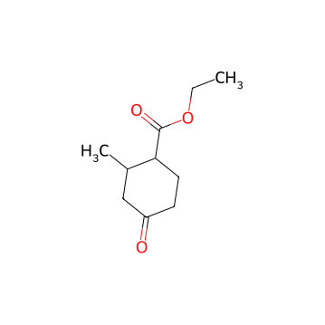 CCOC(=O)C1CCC(=O)CC1C